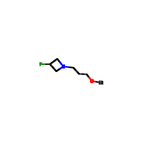 CCOCCCN1CC(F)C1